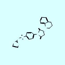 O=C1C[C@@H](N2CCCc3ccccc32)C(=O)N1c1ccc(S(=O)(=O)Nc2nccs2)cc1